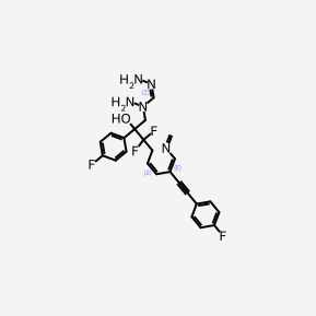 C=N/C=C(C#Cc1ccc(F)cc1)\C=C/CC(F)(F)C(O)(CN(N)/C=N\N)c1ccc(F)cc1